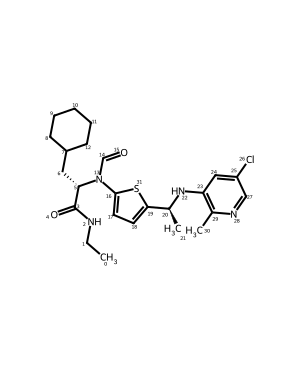 CCNC(=O)[C@H](CC1CCCCC1)N(C=O)c1ccc([C@H](C)Nc2cc(Cl)cnc2C)s1